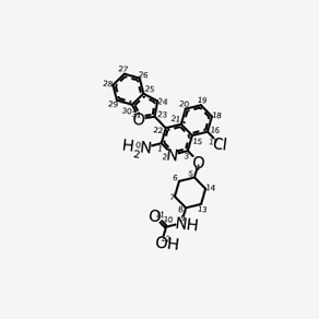 Nc1nc(OC2CCC(NC(=O)O)CC2)c2c(Cl)cccc2c1-c1cc2ccccc2o1